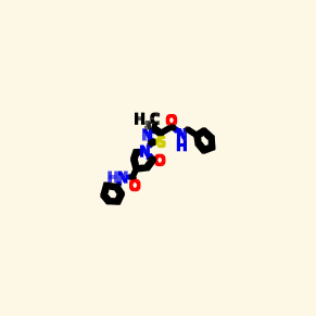 Cc1nc(-n2ccc(C(=O)Nc3ccccc3)cc2=O)sc1C(=O)NCc1ccccc1